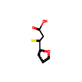 O=C(O)CC(=S)c1ccco1